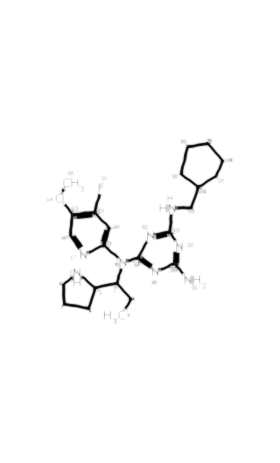 CCC(C1CCCN1)N(c1cc(F)c(OC)cn1)c1nc(N)nc(NCC2CCCCC2)n1